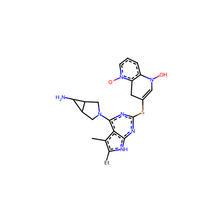 CCc1[nH]c2nc(SC3=CN(O)c4ccc[n+]([O-])c4C3)nc(N3CC4C(N)C4C3)c2c1C